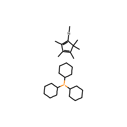 C1CCC(P(C2CCCCC2)C2CCCCC2)CC1.[CH3][Ni][C]1=C(C)C(C)=C(C)C1(C)C